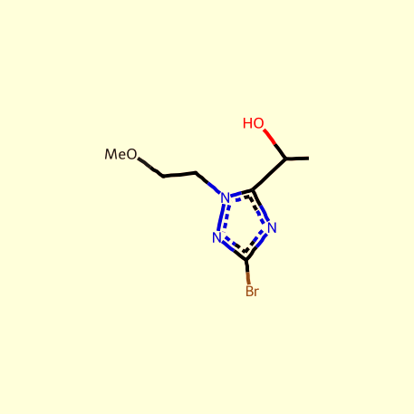 COCCn1nc(Br)nc1C(C)O